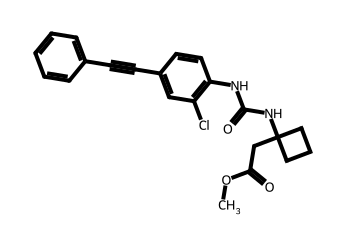 COC(=O)CC1(NC(=O)Nc2ccc(C#Cc3ccccc3)cc2Cl)CCC1